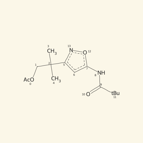 CC(=O)OCC(C)(C)c1cc(NC(=O)C(C)(C)C)on1